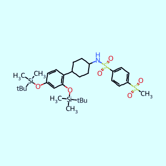 CC(C)(C)[Si](C)(C)Oc1ccc(C2CCC(NS(=O)(=O)c3ccc(S(C)(=O)=O)cc3)CC2)c(O[Si](C)(C)C(C)(C)C)c1